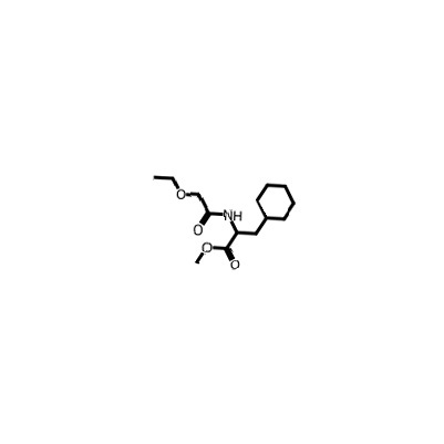 CCOCC(=O)NC(CC1CCCCC1)C(=O)OC